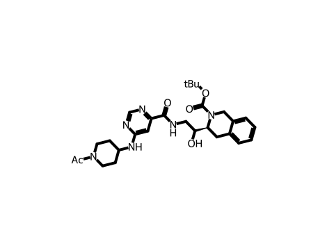 CC(=O)N1CCC(Nc2cc(C(=O)NCC(O)[C@@H]3Cc4ccccc4CN3C(=O)OC(C)(C)C)ncn2)CC1